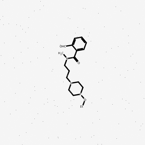 CCOP1CCN(CCCN(C)C(=O)c2ccccc2C=O)CC1